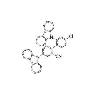 N#Cc1cc(-n2c3ccccc3c3ccccc32)ccc1-c1ccc(Cl)cc1-n1c2ccccc2c2ccccc21